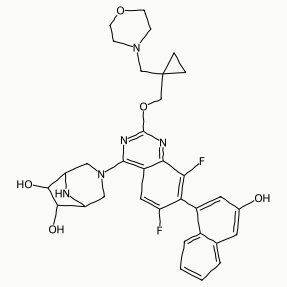 Oc1cc(-c2c(F)cc3c(N4CC5NC(C4)C(O)C5O)nc(OCC4(CN5CCOCC5)CC4)nc3c2F)c2ccccc2c1